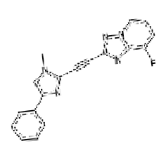 Cn1cc(-c2ccccc2)nc1C#Cc1nc2c(F)cccn2n1